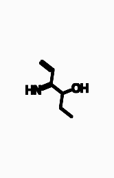 C=CC(=N)C(O)CC